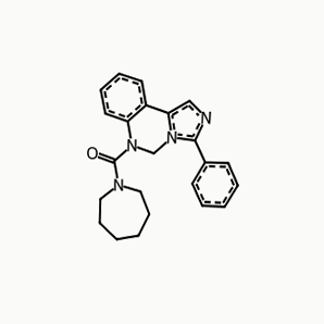 O=C(N1CCCCCC1)N1Cn2c(cnc2-c2ccccc2)-c2ccccc21